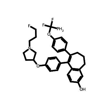 Oc1ccc2c(c1)CCCC(c1ccc(OC(F)(F)P)cc1)=C2c1ccc(OC2CCN(CCCF)C2)cc1